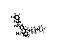 CN1CCN([C@H]2CC[C@H](n3cc(-c4ccc(Nc5nc6cccc(F)c6n5C)cc4)c4c(N)ncnc43)CC2)CC1